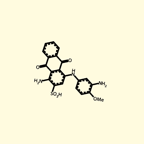 COc1ccc(Nc2cc(S(=O)(=O)O)c(N)c3c2C(=O)c2ccccc2C3=O)cc1N